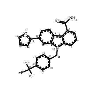 NC(=O)c1cccc2c1c1[c]cc(-c3ccco3)cc1n2Cc1ccc(C(F)(F)F)cc1